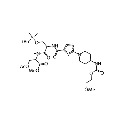 COCCOC(=O)NC1CCN(c2nc(C(=O)NC(CO[Si](C)(C)C(C)(C)C)C(=O)NC(COC(C)=O)C(=O)OC)cs2)CC1